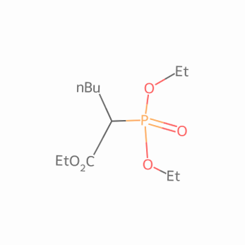 CCCCC(C(=O)OCC)P(=O)(OCC)OCC